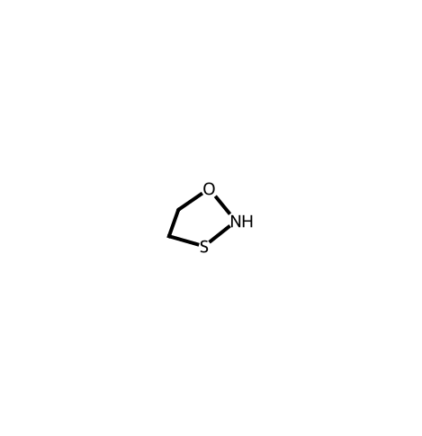 C1CSNO1